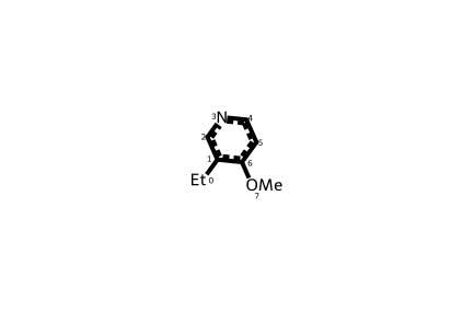 CCc1cnccc1OC